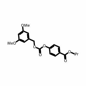 COc1cc(COC(=O)Oc2ccc(C(=O)OC(C)C)cc2)cc(OC)c1